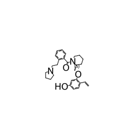 C=Cc1ccc(O)cc1OC[C@@H]1CCCCN1C(=O)c1ccccc1CCN1CCCC1